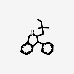 CCC(C)(C)CC1NCc2ccccc2C1c1ccccc1